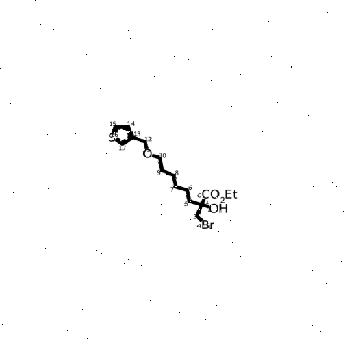 CCOC(=O)C(O)(CBr)CCCCCCOCc1ccsc1